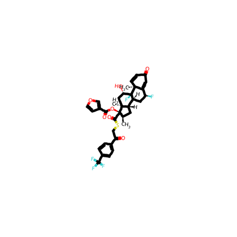 C[C@@H]1C[C@H]2[C@@H]3C[C@H](F)C4=CC(=O)C=C[C@]4(C)[C@@]3(F)[C@@H](O)C[C@]2(C)[C@@]1(OC(=O)c1ccoc1)C(=O)SCC(=O)c1ccc(C(F)(F)F)cc1